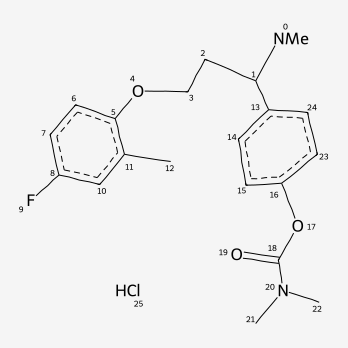 CNC(CCOc1ccc(F)cc1C)c1ccc(OC(=O)N(C)C)cc1.Cl